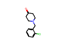 O=C1CCN(Cc2ccccc2Cl)CC1